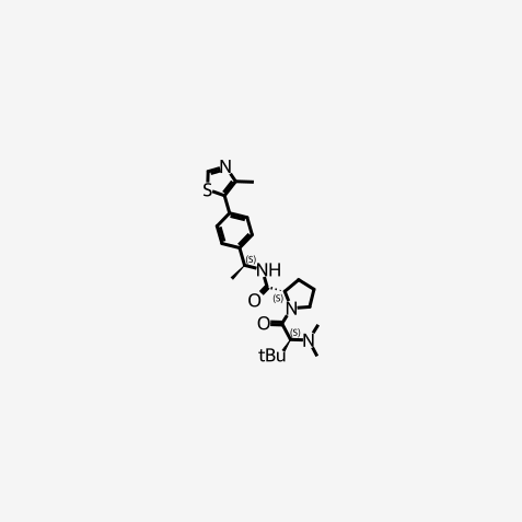 Cc1ncsc1-c1ccc([C@H](C)NC(=O)[C@@H]2CCCN2C(=O)[C@@H](N(C)C)C(C)(C)C)cc1